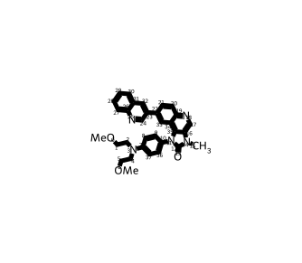 COCCN(CCOC)c1ccc(-n2c(=O)n(C)c3cnc4ccc(-c5cnc6ccccc6c5)cc4c32)cc1